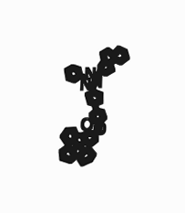 c1ccc(-c2nc(-c3ccc(-c4ccc5c(c4)Oc4c(ccc6c4-c4ccccc4C6(c4ccccc4)c4ccccc4)O5)cc3)nc(-c3ccc4c(ccc5ccccc54)c3)n2)cc1